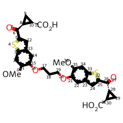 COc1cc2sc(C(=O)[C@H]3C[C@@H]3C(=O)O)cc2cc1OCCCOc1cc2cc(C(=O)[C@@H]3C[C@H]3C(=O)O)sc2cc1OC